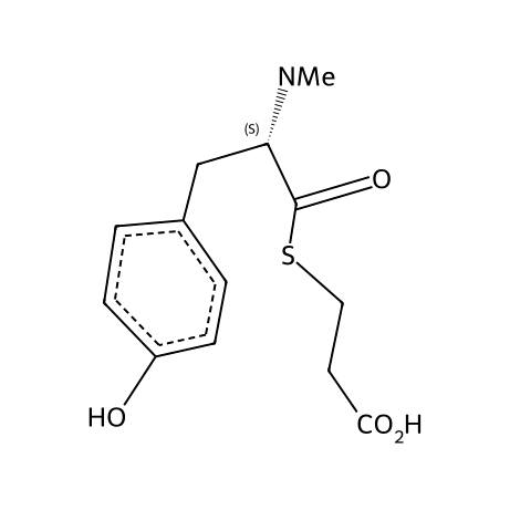 CN[C@@H](Cc1ccc(O)cc1)C(=O)SCCC(=O)O